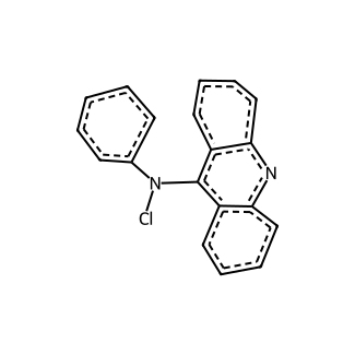 ClN(c1ccccc1)c1c2ccccc2nc2ccccc12